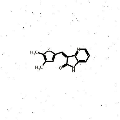 Cc1cc(C=C2C(=O)Nc3cccnc32)sc1C